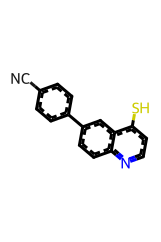 N#Cc1ccc(-c2ccc3nccc(S)c3c2)cc1